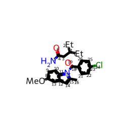 CCC(CC)CC(N)=O.COc1ccc2c(c1)cc(C)n2C(=O)c1ccc(Cl)cc1